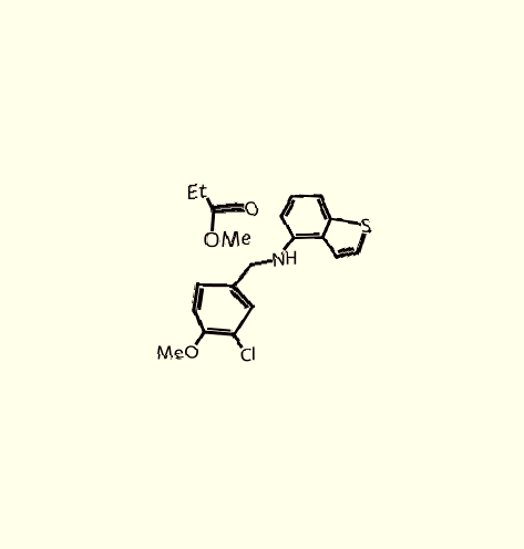 CCC(=O)OC.COc1ccc(CNc2cccc3sccc23)cc1Cl